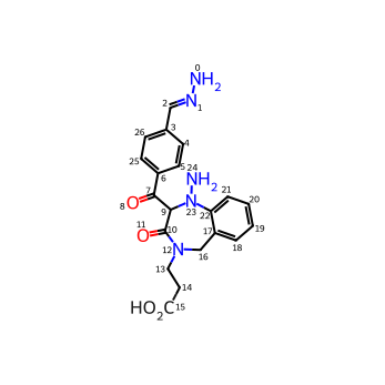 NN=Cc1ccc(C(=O)C2C(=O)N(CCC(=O)O)Cc3ccccc3N2N)cc1